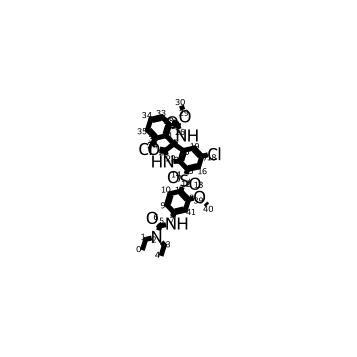 CCN(CC)C(=O)Nc1ccc(S(=O)(=O)c2cc(Cl)cc3c2NC(=O)C3(NC(=O)OC)c2ccccc2Cl)c(OC)c1